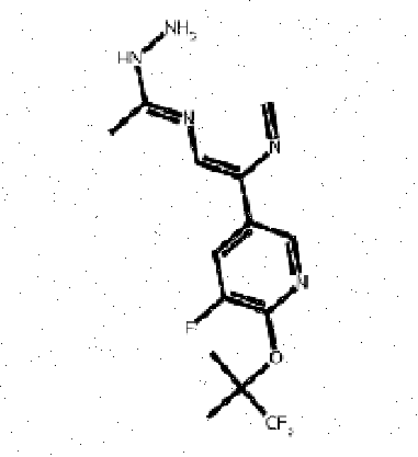 C=N/C(=C\N=C(/C)NN)c1cnc(OC(C)(C)C(F)(F)F)c(F)c1